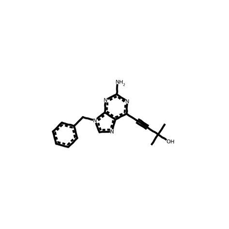 CC(C)(O)C#Cc1nc(N)nc2c1ncn2Cc1ccccc1